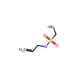 C=CC[N]S(=O)(=O)CCCCC